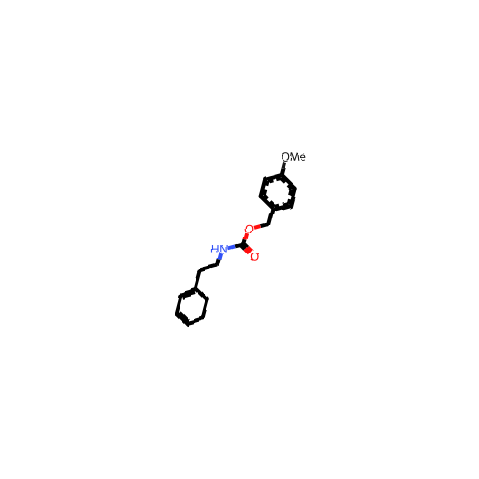 COc1ccc(COC(=O)NCCC2=CC=CCC2)cc1